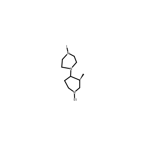 CCN1CCC(N2CCN(I)CC2)[C@@H](C)C1